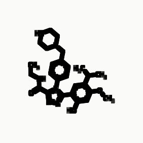 CCNC(=O)c1nnc(-c2cc(C(C)C)c(OC)cc2O)n1-c1ccc(CN2CCNCC2)cc1